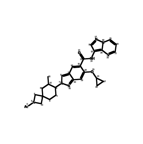 CC(=O)N1CC2(CCC(n3cc4cc(C(=O)Nc5cnn6cccnc56)c(OC5CC5)cc4n3)C(C)C2)C1